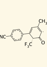 CC1=[C]C(=O)[C@H](C(F)(F)F)C(c2ccc(C#N)cc2)=C1